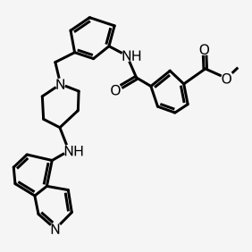 COC(=O)c1cccc(C(=O)Nc2cccc(CN3CCC(Nc4cccc5cnccc45)CC3)c2)c1